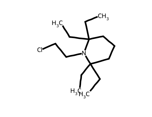 CCC1(CC)CCCC(CC)(CC)N1CCCl